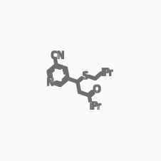 CC(C)CSC(CC(=O)C(C)C)c1cncc(C#N)c1